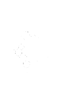 Cc1c(C(=O)ON2C(=O)CCC2=O)sc2ncnc(Nc3ccc(F)cc3CC[C@H]3CCOC3)c12